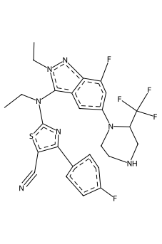 CCN(c1nc(-c2ccc(F)cc2)c(C#N)s1)c1c2cc(N3CCNCC3C(F)(F)F)cc(F)c2nn1CC